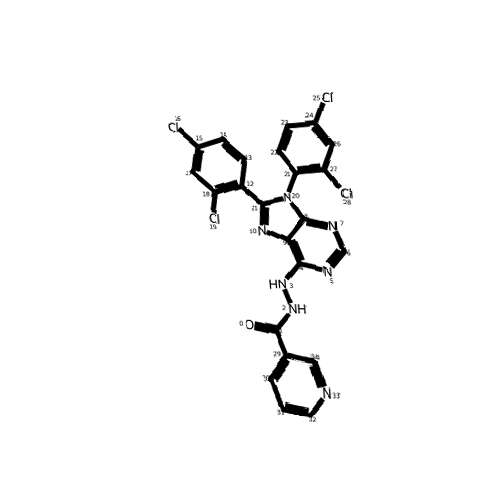 O=C(NNc1ncnc2c1nc(-c1ccc(Cl)cc1Cl)n2-c1ccc(Cl)cc1Cl)c1cccnc1